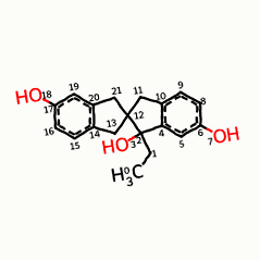 CCC1(O)c2cc(O)ccc2CC12Cc1ccc(O)cc1C2